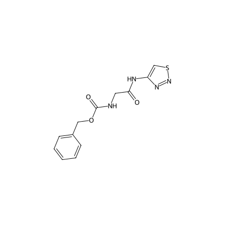 O=C(CNC(=O)OCc1ccccc1)Nc1csnn1